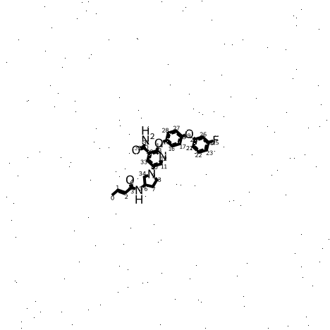 CC=CC(=O)NC1CCN(c2cnc(Oc3ccc(Oc4cccc(F)c4)cc3)c(C(N)=O)c2)C1